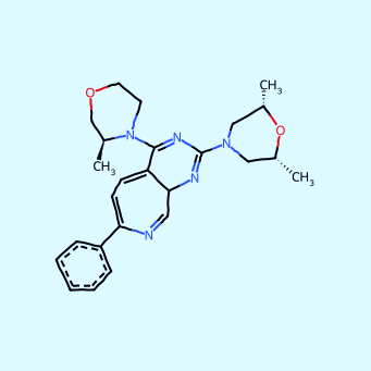 C[C@@H]1CN(C2=NC3C=NC(c4ccccc4)=CC=C3C(N3CCOC[C@@H]3C)=N2)C[C@H](C)O1